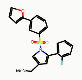 CNCc1cc(-c2ccccc2F)n(S(=O)(=O)c2cccc(-c3ccco3)c2)c1